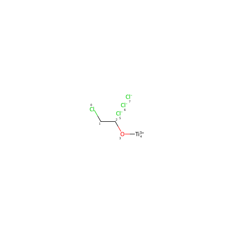 ClCC[O][Ti+3].[Cl-].[Cl-].[Cl-]